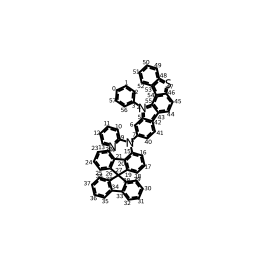 c1ccc(-n2c3cc(N(c4ccccn4)c4cccc5c4-c4ccccc4C54c5ccccc5-c5ccccc54)ccc3c3ccc4sc5ccccc5c4c32)cc1